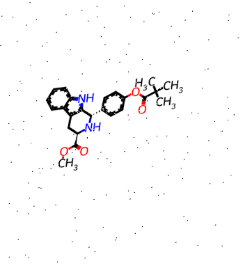 COC(=O)[C@H]1Cc2c([nH]c3ccccc23)[C@H](c2ccc(OC(=O)C(C)(C)C)cc2)N1